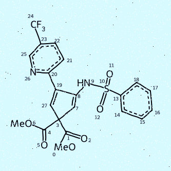 COC(=O)C1(C(=O)OC)C=C(NS(=O)(=O)c2ccccc2)C(c2ccc(C(F)(F)F)cn2)=C1